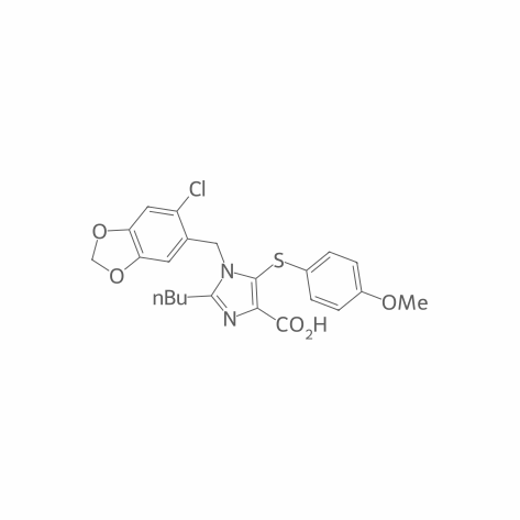 CCCCc1nc(C(=O)O)c(Sc2ccc(OC)cc2)n1Cc1cc2c(cc1Cl)OCO2